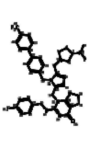 CN(C)[C@@H]1CCN(Cc2nnc(Cn3c(SCc4ccc(F)cc4)nc(=O)c4c3CCC4)n2Cc2ccc(-c3ccc(C(F)(F)F)cc3)cc2)C1